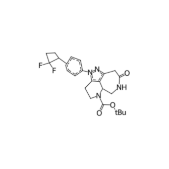 CC(C)(C)OC(=O)N1CCc2c3c(nn2-c2ccc(C4CCC4(F)F)cc2)CC(=O)NCC31